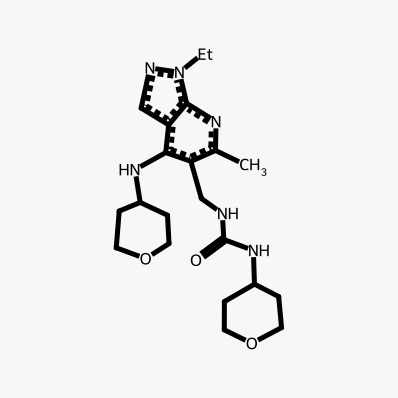 CCn1ncc2c(NC3CCOCC3)c(CNC(=O)NC3CCOCC3)c(C)nc21